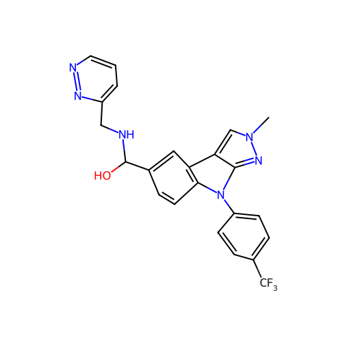 Cn1cc2c3cc(C(O)NCc4cccnn4)ccc3n(-c3ccc(C(F)(F)F)cc3)c2n1